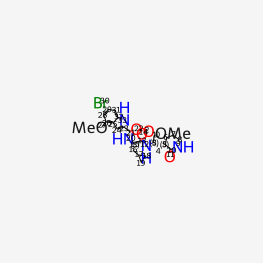 COC(=O)[C@H](C[C@@H]1CCCNC1=O)NC(=O)[C@H](CC1CC1)NC(=O)c1cc2c(OC)cc(Br)cc2[nH]1